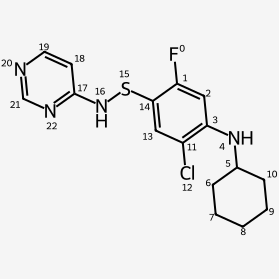 Fc1cc(NC2CCCCC2)c(Cl)cc1SNc1ccncn1